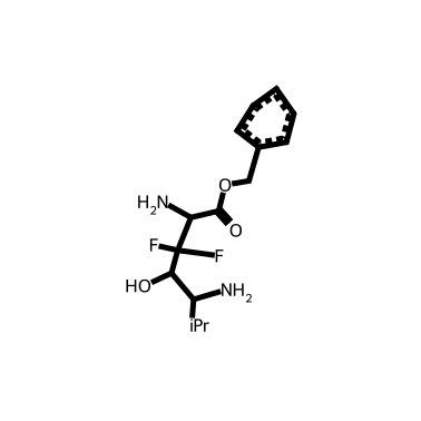 CC(C)C(N)C(O)C(F)(F)C(N)C(=O)OCc1ccccc1